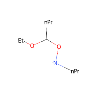 CCC[N]OC(CCC)OCC